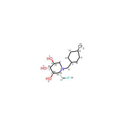 O[C@H]1[C@H](O)[C@@H](O)CN(CC2CCC(C(F)(F)F)CC2)[C@@H]1CF